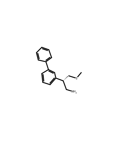 CSC[C@H](CN)c1cccc(-c2ccccc2)c1